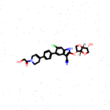 N#Cc1c(O[C@@H]2CO[C@H]3[C@@H]2OC[C@H]3O)[nH]c2cc(Cl)c(-c3ccc(C4=CCN(C(=O)CO)CC4)cc3)cc12